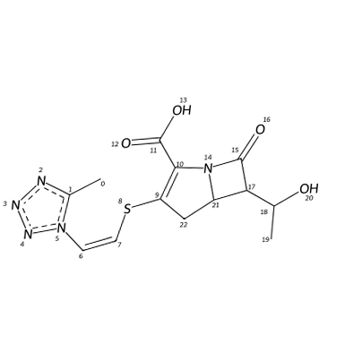 Cc1nnnn1/C=C\SC1=C(C(=O)O)N2C(=O)C(C(C)O)C2C1